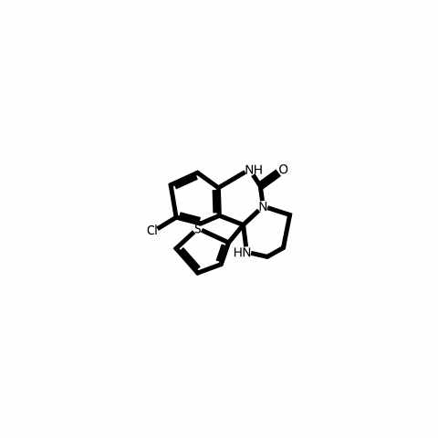 O=C1Nc2ccc(Cl)cc2C2(c3cccs3)NCCCN12